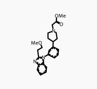 COCCc1nc2ccccc2n1-c1cccc(C2CCN(CC(=O)OC)CC2)c1